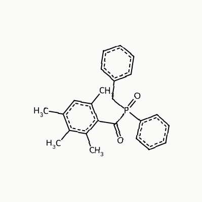 Cc1cc(C)c(C(=O)P(=O)(Cc2ccccc2)c2ccccc2)c(C)c1C